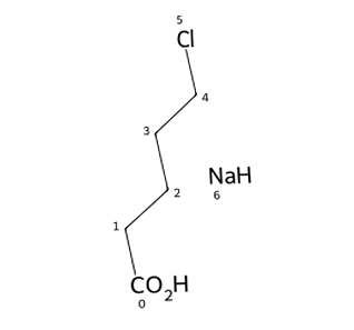 O=C(O)CCCCCl.[NaH]